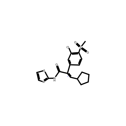 CS(=O)(=O)c1ccc(/C(=C\C2CCCC2)C(=O)Nc2nccs2)cc1Cl